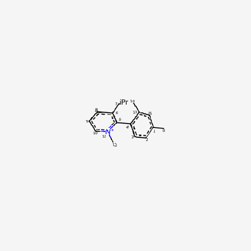 Cc1ccc(-c2c(C(C)C)ccc[n+]2C)c(C)c1